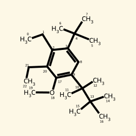 CCc1c(C(C)(C)C)cc(C(C)(C)C(C)(C)C)c(OC)c1CC